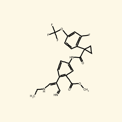 CCN/C=C(\C=N)c1ccc(NC(=O)C2(c3ccc(OC(F)(F)F)cc3F)CC2)cc1C(=O)OC